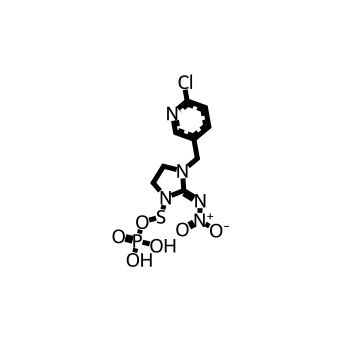 O=[N+]([O-])N=C1N(Cc2ccc(Cl)nc2)CCN1SOP(=O)(O)O